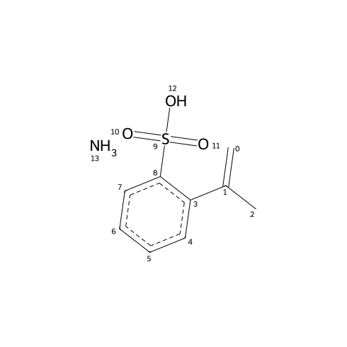 C=C(C)c1ccccc1S(=O)(=O)O.N